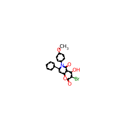 COc1ccc(-n2c(-c3ccccc3)cc3oc(=O)c(Br)c(O)c3c2=O)cc1